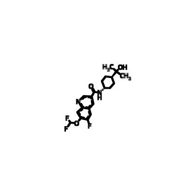 CC(C)(O)[C@H]1CC[C@H](NC(=O)c2cnc3cc(OC(F)F)c(F)cc3c2)CC1